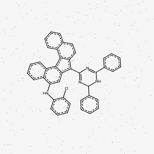 Clc1ccccc1Nc1cc2c(c3ccccc13)c1c3ccccc3ccc1n2C1=NC(c2ccccc2)NC(c2ccccc2)=N1